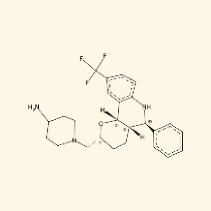 NC1CCN(C[C@H]2CC[C@@H]3[C@H](O2)c2cc(C(F)(F)F)ccc2N[C@H]3c2ccccc2)CC1